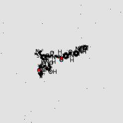 Cc1ncsc1-c1ccc(CNC(=O)[C@@H]2C[C@@H](O)CN2C(=O)C(NC(=O)C2(F)CC2)C(C)(C)C)c(OCC(=O)NCCNC(=O)c2ccc(C(=O)Nc3ccc4[nH]c(CN5CCC[C@@H]5C)nc4c3)cc2)c1